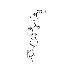 Cc1nc(-c2ccc3nc(NC(=O)[C@H]4CCN(C(=O)O)C4)cn3c2)no1